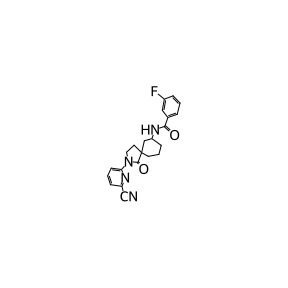 N#Cc1cccc(N2CCC3(CCCC(NC(=O)c4cccc(F)c4)C3)C2=O)n1